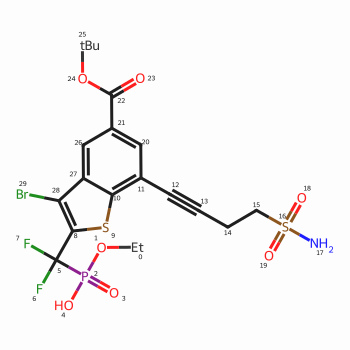 CCOP(=O)(O)C(F)(F)c1sc2c(C#CCCS(N)(=O)=O)cc(C(=O)OC(C)(C)C)cc2c1Br